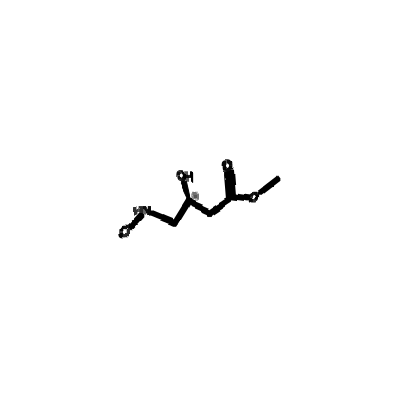 COC(=O)C[C@H](O)CNCl